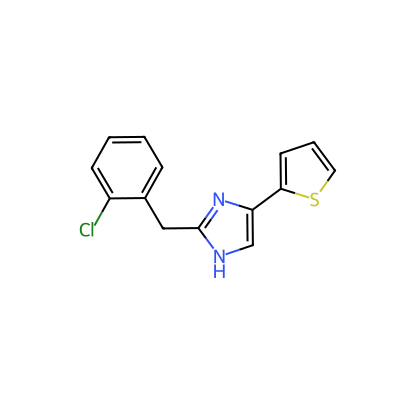 Clc1ccccc1Cc1nc(-c2cccs2)c[nH]1